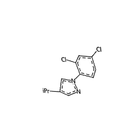 CC(C)c1cnn(-c2ccc(Cl)cc2Cl)c1